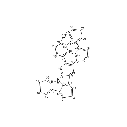 c1cc(-c2ccc3c(c2)c2cccc4c5ccccc5n3c42)c2c(c1)c1cccc3oc4cccc2c4c31